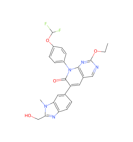 CCOc1ncc2cc(-c3ccc4nc(CO)n(C)c4c3)c(=O)n(-c3ccc(OC(F)F)cc3)c2n1